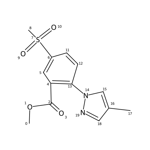 COC(=O)c1cc(S(C)(=O)=O)ccc1-n1cc(C)cn1